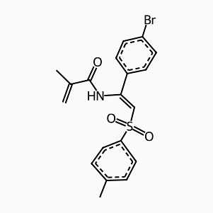 C=C(C)C(=O)NC(=CS(=O)(=O)c1ccc(C)cc1)c1ccc(Br)cc1